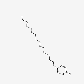 CCSCCCCCCCCCCCCCc1ccc(F)cc1